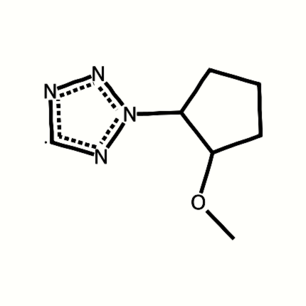 COC1CCCC1n1n[c]nn1